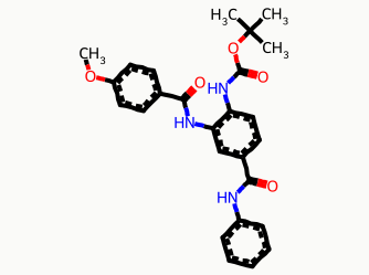 COc1ccc(C(=O)Nc2cc(C(=O)Nc3ccccc3)ccc2NC(=O)OC(C)(C)C)cc1